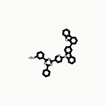 CCCCc1cccc(-c2nc(-c3ccccc3)nc(-c3ccc(-n4c5ccccc5c5cc(-c6cccc7c6oc6ccccc67)ccc54)nc3)n2)c1